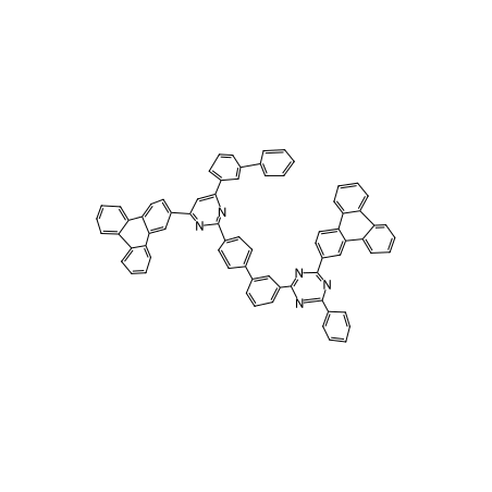 c1ccc(-c2cccc(-c3cc(-c4ccc5c6ccccc6c6ccccc6c5c4)nc(-c4ccc(-c5cccc(-c6nc(-c7ccccc7)nc(-c7ccc8c9ccccc9c9ccccc9c8c7)n6)c5)cc4)n3)c2)cc1